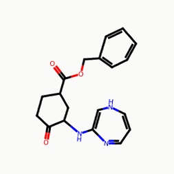 O=C(OCc1ccccc1)C1CCC(=O)C(NC2=CNC=CC=N2)C1